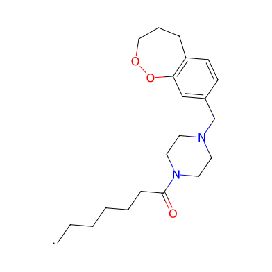 [CH2]CCCCCC(=O)N1CCN(Cc2ccc3c(c2)OOCCC3)CC1